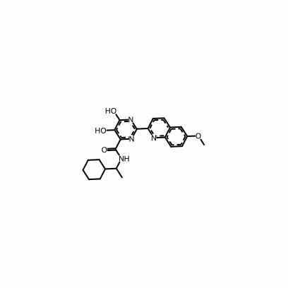 COc1ccc2nc(-c3nc(O)c(O)c(C(=O)NC(C)C4CCCCC4)n3)ccc2c1